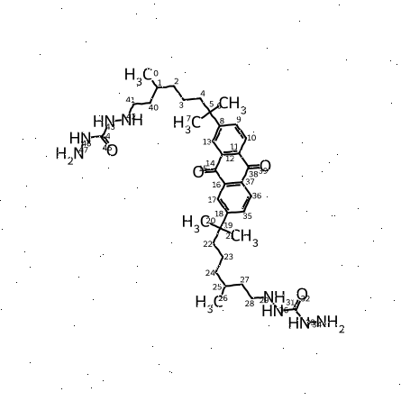 CC(CCCC(C)(C)c1ccc2c(c1)C(=O)c1cc(C(C)(C)CCCC(C)CCNNC(=O)NN)ccc1C2=O)CCNNC(=O)NN